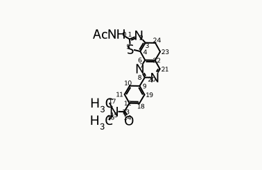 CC(=O)Nc1nc2c(s1)-c1nc(-c3ccc(C(=O)N(C)C)cc3)ncc1CC2